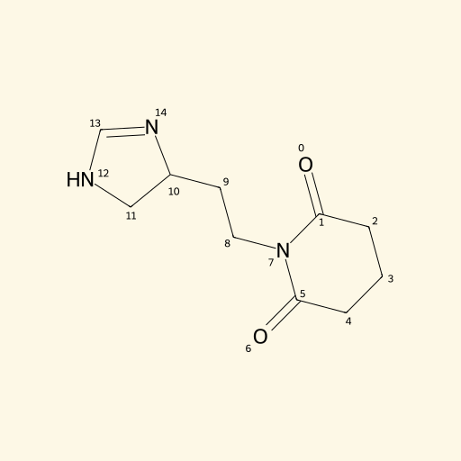 O=C1CCCC(=O)N1CCC1CNC=N1